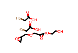 C(OCC1CO1)C1CO1.O=C(O)CS.O=C(O)CS.OCCO